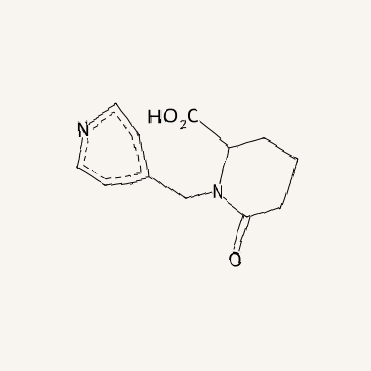 O=C(O)C1CCCC(=O)N1Cc1ccncc1